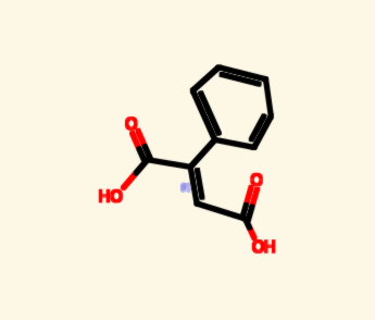 O=C(O)/C=C(/C(=O)O)c1ccccc1